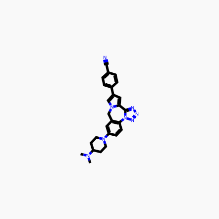 CN(C)C1CCN(c2ccc3c(c2)Cn2cc(-c4ccc(C#N)cc4)cc2-c2nnnn2-3)CC1